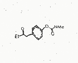 CCC(=O)Cc1ccc(OC(=O)NC)cc1